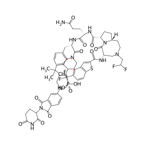 CC(C)(C)c1ccc(C[C@H](NC(=O)[C@H](CCC(N)=O)NC(=O)[C@@H]2CC[C@@H]3CCN(CC(F)F)C[C@H](NC(=O)c4cc5cc(C(F)(F)P(=O)(O)O)ccc5s4)C(=O)N32)C(=O)N2CCC(C3CCN(c4ccc5c(c4)C(=O)N(C4CCC(=O)NC4=O)C5=O)CC3)CC2)cc1